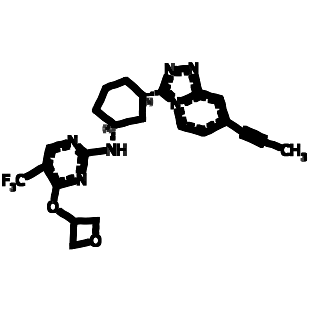 CC#Cc1ccn2c([C@H]3CCC[C@@H](Nc4ncc(C(F)(F)F)c(OC5COC5)n4)C3)nnc2c1